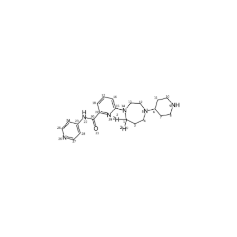 [2H]C1([2H])CCN(C2CCNCC2)CCN1c1cccc(C(=O)Nc2ccncc2)n1